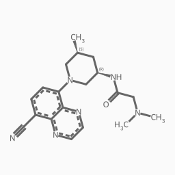 C[C@H]1C[C@@H](NC(=O)CN(C)C)CN(c2ccc(C#N)c3nccnc23)C1